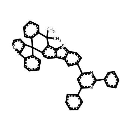 CC1(C)c2ccccc2C2(c3ccccc3-c3ccccc32)c2ccc3c(sc4ccc(-c5cc(-c6ccccc6)nc(-c6ccccc6)n5)cc43)c21